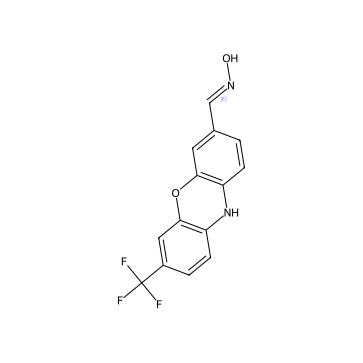 O/N=C/c1ccc2c(c1)Oc1cc(C(F)(F)F)ccc1N2